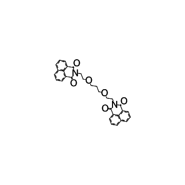 O=C1c2cccc3cccc(c23)C(=O)N1CCOCCCOCCN1C(=O)c2cccc3cccc(c23)C1=O